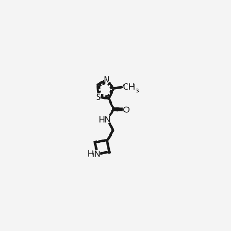 Cc1ncsc1C(=O)NCC1CNC1